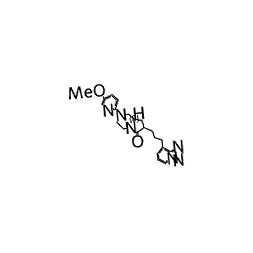 COc1ccc(N2CCN3C(=O)C(CCCc4cccn5ncnc45)C[C@H]3C2)nc1